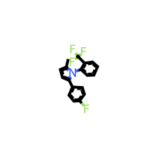 Cc1ccc(-c2ccc(F)cc2)n1-c1ccccc1C(F)(F)F